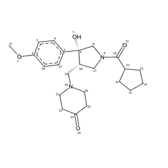 COc1ccc([C@@]2(O)CN(C(=O)C3CCCC3)C[C@@H]2CN2CCC(=O)CC2)cc1